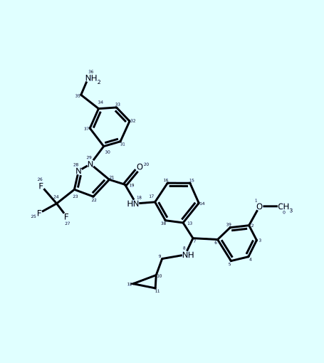 COc1cccc(C(NCC2CC2)c2cccc(NC(=O)c3cc(C(F)(F)F)nn3-c3cccc(CN)c3)c2)c1